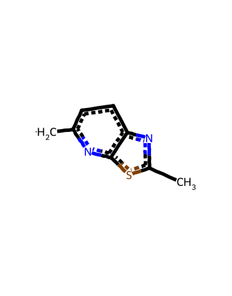 [CH2]c1ccc2nc(C)sc2n1